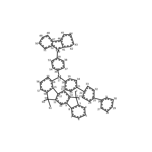 CC1(C)c2ccccc2-c2cc3c(cc21)-c1c(N(c2ccc(-c4ccc(-c5ccccc5)cc4)cc2)c2ccc(-n4c5ccccc5c5ccccc54)cc2)cccc1C3(C)C